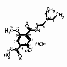 CCN(CC)CCNC(=O)c1cc(Cl)c(C(=O)NO)cc1OC.Cl